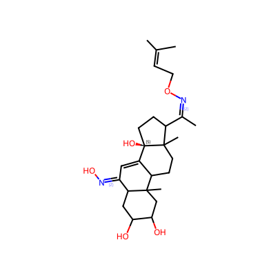 CC(C)=CCO/N=C(/C)C1CC[C@@]2(O)C3=C/C(=N\O)C4CC(O)C(O)CC4(C)C3CCC12C